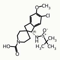 COc1cc2c(cc1Cl)[C@H](N[S+]([O-])C(C)(C)C)C1(CCN(C(=O)O)CC1)C2